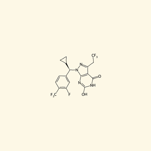 O=c1[nH]c(O)nc2c1c(CC(F)(F)F)nn2[C@@H](c1ccc(C(F)(F)F)c(F)c1)C1CC1